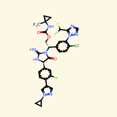 N=C1N[C@H](c2ccc(-c3cnn(C4CC4)c3)c(F)c2)C(=O)N1[C@H](COC(=O)NC1(C(F)(F)F)CC1)c1ccc(Cl)c(-n2ncnc2C(F)F)c1